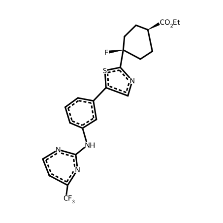 CCOC(=O)[C@H]1CC[C@](F)(c2ncc(-c3cccc(Nc4nccc(C(F)(F)F)n4)c3)s2)CC1